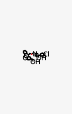 OCc1ccc2c(c1)C(=CCCN1CCC(O)(c3ccc(Cl)cc3)CC1)c1ccccc1CO2